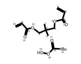 C=CC(=O)OCC(C)(C)COC(=O)C=C.CC(C)(C)C(=O)OO